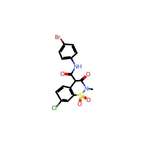 CN1C(=O)C(C(=O)Nc2ccc(Br)cc2)c2ccc(Cl)cc2S1(=O)=O